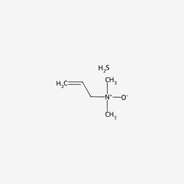 C=CC[N+](C)(C)[O-].S